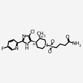 C[C@H]1CN(S(=O)(=O)CCCC(N)=O)CC[C@H]1c1[nH]c(-c2ccc(F)cn2)nc1Cl